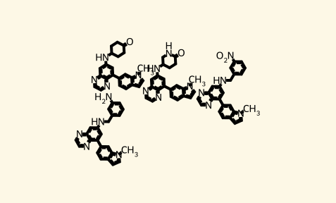 Cn1ccc2ccc(-c3cc(NC4CCC(=O)CC4)cc4nccnc34)cc21.Cn1ccc2ccc(-c3cc(NC4CCC(=O)NC4)cc4nccnc34)cc21.Cn1ccc2ccc(-c3cc(NCc4cccc(N)c4)cc4nccnc34)cc21.Cn1ccc2ccc(-c3cc(NCc4cccc([N+](=O)[O-])c4)cc4nccnc34)cc21